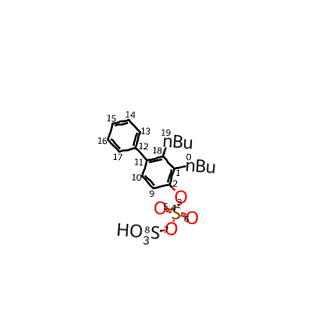 CCCCc1c(OS(=O)(=O)OS(=O)(=O)O)ccc(-c2ccccc2)c1CCCC